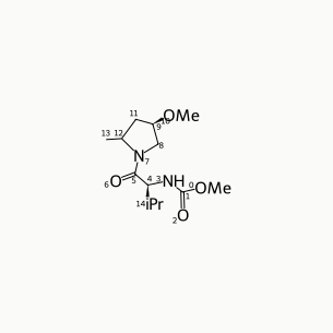 COC(=O)N[C@H](C(=O)N1C[C@H](OC)CC1C)C(C)C